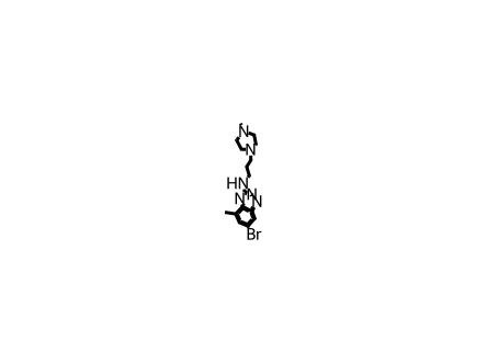 Cc1cc(Br)cc2nnc(NCCCN3CCN(C)CC3)nc12